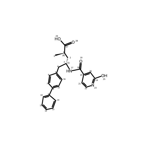 C[C@H](C[C@@H](Cc1ccc(-c2ccccc2)cc1)NC(=O)c1ccnc(O)c1)C(=O)O